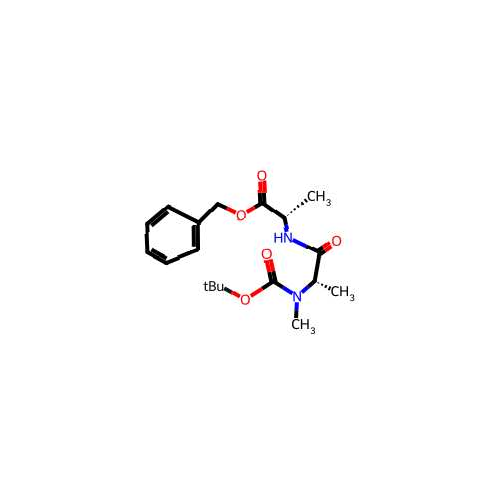 C[C@H](NC(=O)[C@H](C)N(C)C(=O)OC(C)(C)C)C(=O)OCc1ccccc1